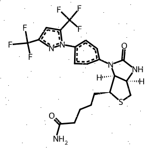 NC(=O)CCCC[C@@H]1SC[C@@H]2NC(=O)N(c3ccc(-n4nc(C(F)(F)F)cc4C(F)(F)F)cc3)[C@@H]21